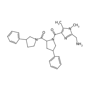 Cc1c(C(=O)N2CC(c3ccccc3)CC2C(=O)N2CCC(c3ccccc3)C2)nc(CN)n1C